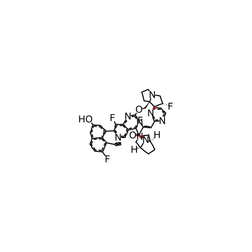 C#Cc1c(F)ccc2cc(O)cc(-c3ncc4c(N5C[C@H]6CC[C@@H](C5)N6C(=O)/C(F)=C/c5ncccn5)nc(OC[C@@]56CCCN5C[C@H](F)C6)nc4c3F)c12